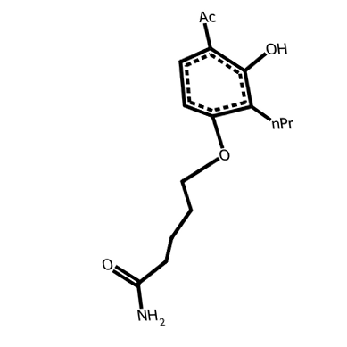 CCCc1c(OCCCCC(N)=O)ccc(C(C)=O)c1O